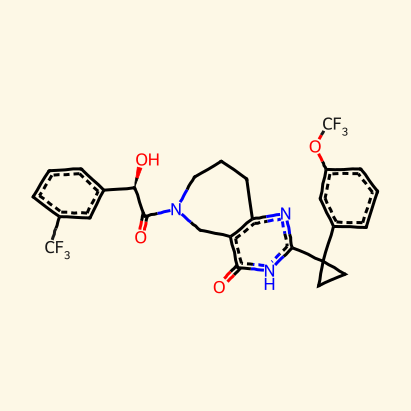 O=C([C@H](O)c1cccc(C(F)(F)F)c1)N1CCCc2nc(C3(c4cccc(OC(F)(F)F)c4)CC3)[nH]c(=O)c2C1